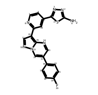 Nc1nnc(-c2ccnc(-c3cnn4cc(-c5ccc(F)cc5)cnc34)c2)s1